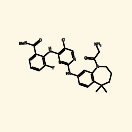 CNC(=O)c1cccc(F)c1Nc1nc(Nc2ccc3c(c2)N(C(=O)CN)CCCC3(C)C)ncc1Cl